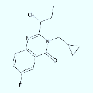 CC[C@@H](Cl)c1nc2ccc(F)cc2c(=O)n1CC1CC1